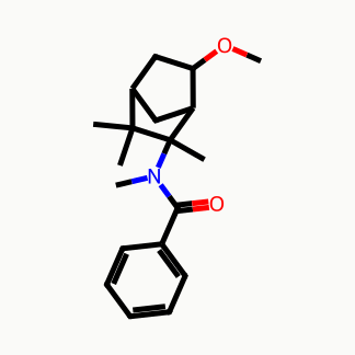 COC1CC2CC1C(C)(N(C)C(=O)c1ccccc1)C2(C)C